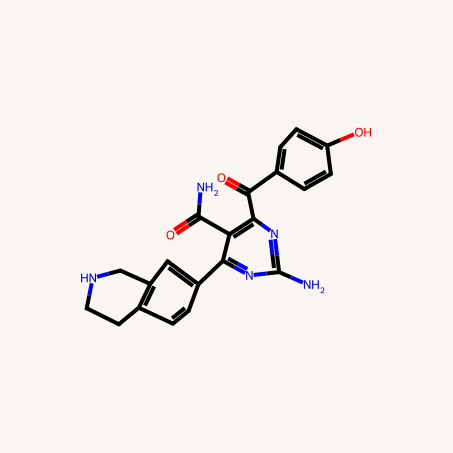 NC(=O)c1c(C(=O)c2ccc(O)cc2)nc(N)nc1-c1ccc2c(c1)CNCC2